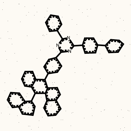 c1ccc(-c2ccc(-c3nc(-c4ccccc4)nc(-c4ccc(-c5c6ccccc6c(-c6cccc7ccccc67)c6c5ccc5ccccc56)cc4)n3)cc2)cc1